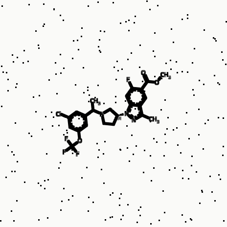 COC(=O)c1cc2c(C)nn([C@@H]3CCN(C(C)c4cc(Cl)cc(OC(F)(F)F)c4)C3)c2cc1F